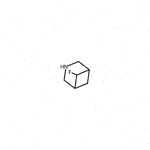 FC1C2CNCC1C2